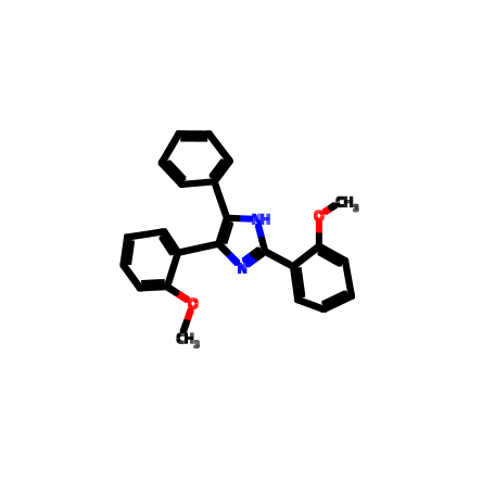 COc1ccccc1-c1nc(-c2ccccc2OC)c(-c2ccccc2)[nH]1